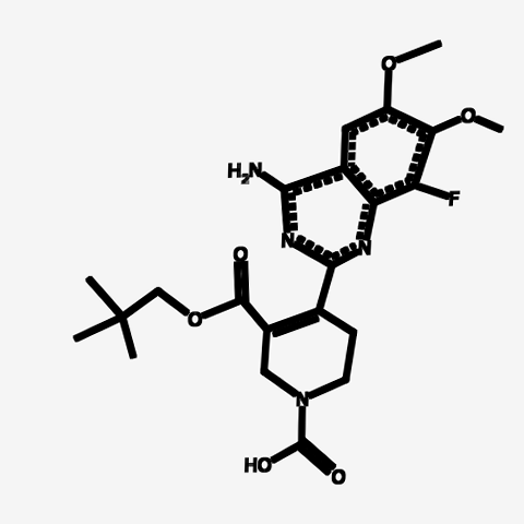 COc1cc2c(N)nc(C3=C(C(=O)OCC(C)(C)C)CN(C(=O)O)CC3)nc2c(F)c1OC